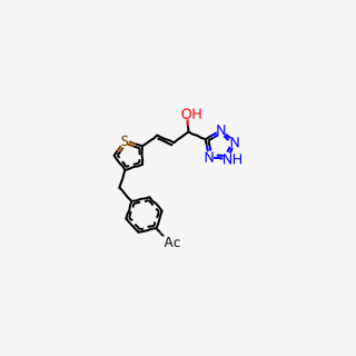 CC(=O)c1ccc(Cc2csc(C=CC(O)c3nn[nH]n3)c2)cc1